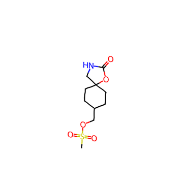 CS(=O)(=O)OCC1CCC2(CC1)CNC(=O)O2